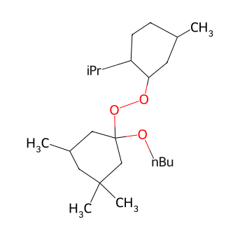 CCCCOC1(OOC2CC(C)CCC2C(C)C)CC(C)CC(C)(C)C1